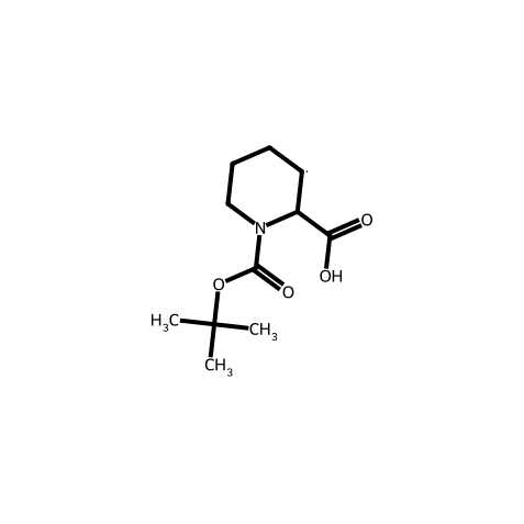 CC(C)(C)OC(=O)N1CCC[CH]C1C(=O)O